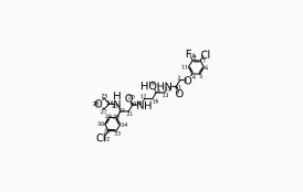 O=C(COc1ccc(Cl)c(F)c1)NC[C@@H](O)CCNC(=O)CC(NC1COC1)c1ccc(Cl)cc1